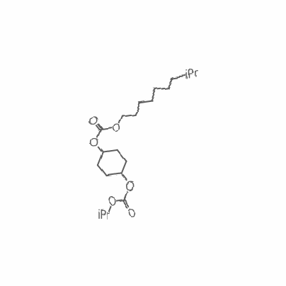 CC(C)CCCCCCCOC(=O)OC1CCC(OC(=O)OC(C)C)CC1